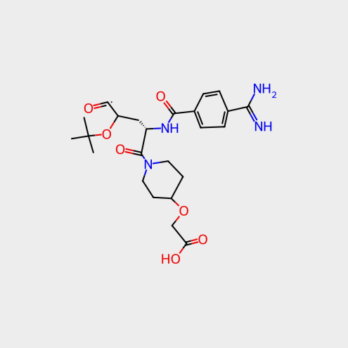 CC(C)(C)OC([C]=O)C[C@H](NC(=O)c1ccc(C(=N)N)cc1)C(=O)N1CCC(OCC(=O)O)CC1